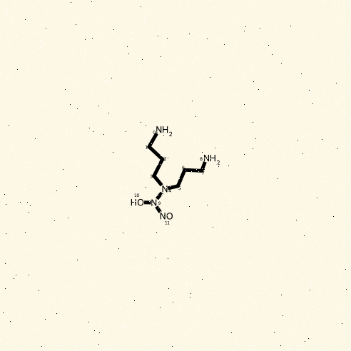 NCCCN(CCCN)N(O)N=O